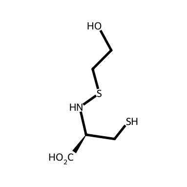 O=C(O)[C@H](CS)NSCCO